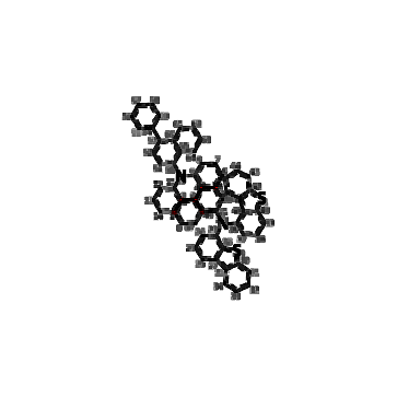 c1ccc(-c2ccccc2N(c2ccccc2-c2cccc(N(c3cccc4c3sc3ccccc34)c3cccc4sc5ccccc5c34)c2)c2ccc(-c3ccccc3)c3ccccc23)cc1